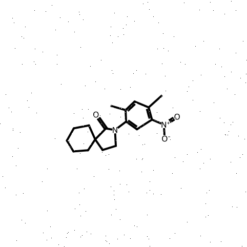 Cc1cc(C)c([N+](=O)[O-])cc1N1CCC2(CCCCC2)C1=O